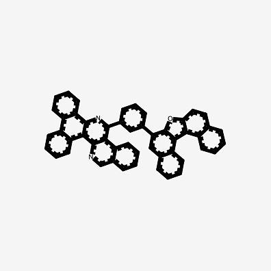 c1cc(-c2cc3ccccc3c3c2oc2ccc4ccccc4c23)cc(-c2nc3c4ccccc4c4ccccc4c3c3ncc4ccccc4c23)c1